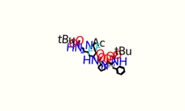 CC(=O)C(N)C(F)(F)C(=O)C(CCCCNC(=O)OC(C)(C)C)NC(=O)[C@@H]1CCCN1C(=O)[C@@H](Cc1ccccc1)NC(=O)OC(C)(C)C